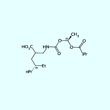 CCC[C@@H](CC)CC(CNC(=O)O[C@@H](C)OC(=O)C(C)C)C(=O)O